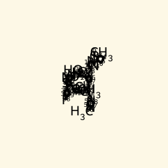 COc1ccccc1-c1nccc(COc2ccc3cc2C[C@H](C(=O)O)Oc2ncnc4sc(-c5ccc(F)cc5)c(c24)C2=CC=C(CN(CCCN4CCN(C)CC4)C3)C(C)(Cl)C2)n1